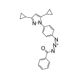 O=C(N=[N+]=Nc1ccc(-n2nc(C3CC3)cc2C2CC2)cc1)c1ccccc1